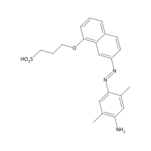 Cc1cc(N=Nc2ccc3cccc(OCCCS(=O)(=O)O)c3c2)c(C)cc1N